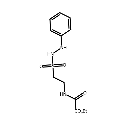 CCOC(=O)C(=O)NCCS(=O)(=O)NNc1ccccc1